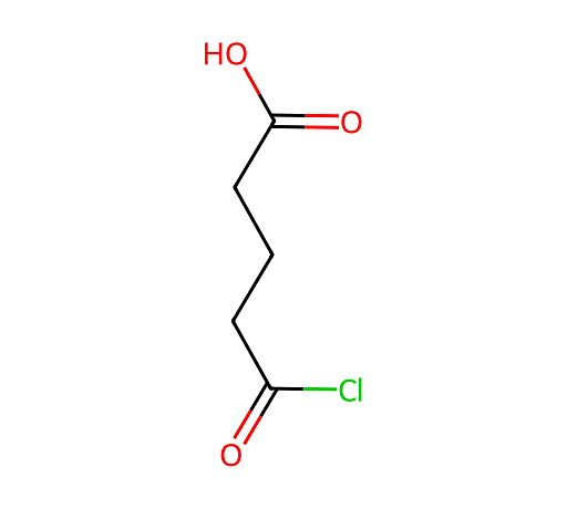 O=C(O)CCCC(=O)Cl